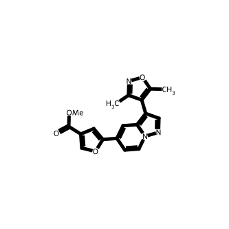 COC(=O)c1coc(-c2ccn3ncc(-c4c(C)noc4C)c3c2)c1